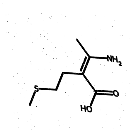 CSCC/C(C(=O)O)=C(\C)N